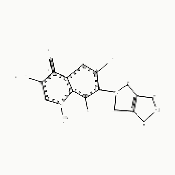 CC(C)(C)n1cc(C(=O)O)c(=O)c2cc(F)c(N3CC4=C(CNC4)C3)c(F)c21